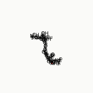 Cc1ncsc1-c1ccc(CNC(=O)[C@@H]2C[C@@H](O)CN2C(=O)[C@@H](NC(=O)COCCOCCOCC(=O)N2CCN(c3ccc(C(=O)Nc4n[nH]c5ccc(Cc6cc(F)cc(F)c6)cc45)c(NC4CCOCC4)c3)CC2)C(C)(C)C)cc1